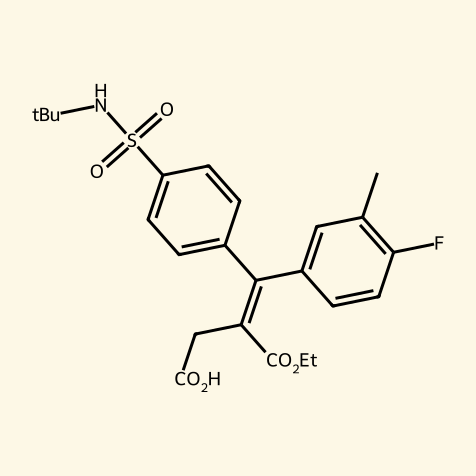 CCOC(=O)C(CC(=O)O)=C(c1ccc(S(=O)(=O)NC(C)(C)C)cc1)c1ccc(F)c(C)c1